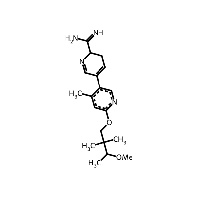 COC(C)C(C)(C)COc1cc(C)c(C2=CCC(C(=N)N)N=C2)cn1